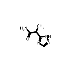 CC(C(N)=O)c1ncn[nH]1